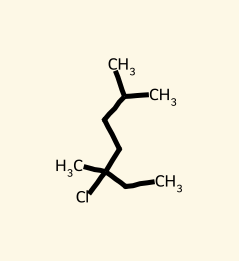 CCC(C)(Cl)CCC(C)C